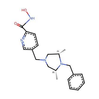 C[C@@H]1CN(Cc2ccc(C(=O)NO)nc2)C[C@H](C)N1Cc1ccccc1